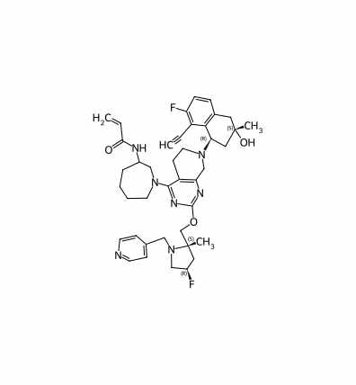 C#Cc1c(F)ccc2c1[C@H](N1CCc3c(nc(OC[C@]4(C)C[C@@H](F)CN4Cc4ccncc4)nc3N3CCCCC(NC(=O)C=C)C3)C1)C[C@@](C)(O)C2